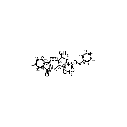 CC1CN(C(=O)OCc2ccccc2)[C@@H](C)C(CN2C(=O)c3ccccc3C2=O)C1=O